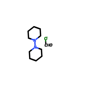 C1CCN(N2CCCCC2)CC1.O=CCl